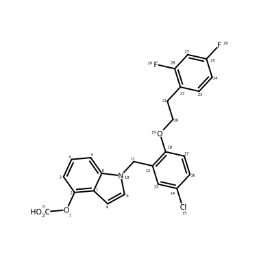 O=C(O)Oc1cccc2c1ccn2Cc1cc(Cl)ccc1OCCc1ccc(F)cc1F